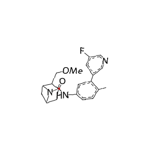 COCC1CCC2CC1N2C(=O)Nc1ccc(C)c(-c2cncc(F)c2)c1